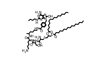 CCCCCCCCCCCCCCCC(=O)OCC(CSCC(N)C(=O)NC(CO)C(=O)NC(CCCCN)C(=O)NC(C)CCCCNC(=O)c1ccc(Cn2c(O)nc3c(N)nc(NCCCC)nc32)cc1)OC(=O)CCCCCCCCCCCCCCC